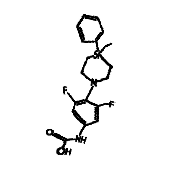 C[Si]1(c2ccccc2)CCN(c2c(F)cc(NC(=O)O)cc2F)CC1